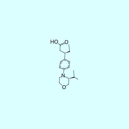 CC[C@H](CC(=O)O)c1ccc(N2CCOC[C@@H]2C(C)C)cc1